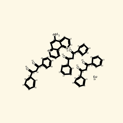 Nc1cc2ncccc2c2ncccc12.O=C(CC(=O)c1ccccc1)c1ccccc1.O=C(CC(=O)c1ccccc1)c1ccccc1.O=C(CC(=O)c1ccccc1)c1ccccc1.[Eu]